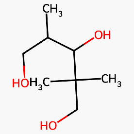 CC(CO)C(O)C(C)(C)CO